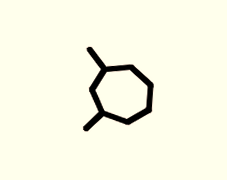 CC1CCCCC(C)C1